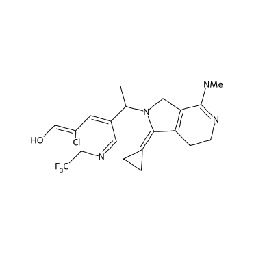 CNC1=NCCC2=C1CN(C(C)C(/C=N\CC(F)(F)F)=C/C(Cl)=C/O)C2=C1CC1